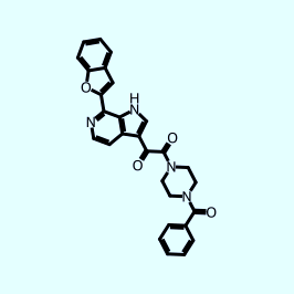 O=C(C(=O)N1CCN(C(=O)c2ccccc2)CC1)c1c[nH]c2c(-c3cc4ccccc4o3)nccc12